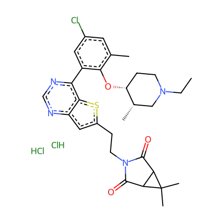 CCN1CC[C@@H](Oc2c(C)cc(Cl)cc2-c2ncnc3cc(CCN4C(=O)C5C(C4=O)C5(C)C)sc23)[C@@H](C)C1.Cl.Cl